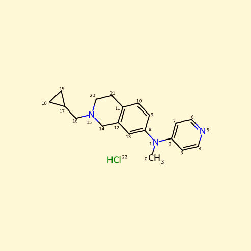 CN(c1ccncc1)c1ccc2c(c1)CN(CC1CC1)CC2.Cl